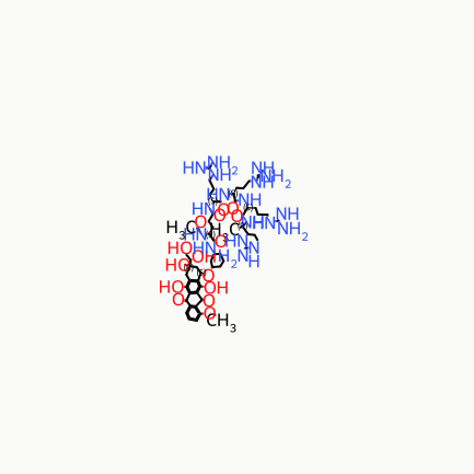 COc1cccc2c1C(=O)c1c(O)c3c(c(O)c1C2=O)C[C@](O)(C(O)CO)C[C@@H]3OC1CCCC(NC(=O)[C@H](CCC(=O)N[C@@H](CCCNC(=N)N)C(=O)N[C@@H](CCCNC(=N)N)C(=O)N[C@@H](CCCNC(=N)N)C(=O)N[C@H](C)CCCNC(=N)N)NC(C)=O)C1